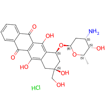 C[C@@H]1O[C@@H](O[C@H]2C[C@](O)(CO)Cc3c(O)c4c(c(O)c32)C(=O)c2ccccc2C4=O)C[C@H](N)[C@@H]1O.Cl